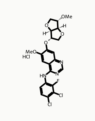 COc1cc2c(Nc3ccc(Cl)c(Cl)c3F)ncnc2cc1O[C@H]1CO[C@H]2[C@@H]1OC[C@@H]2OC.Cl